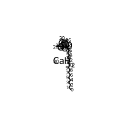 CCCCCCCCCCCCCCCCCC(=O)O[Si](OCC)(OCC)OCC.[CaH2]